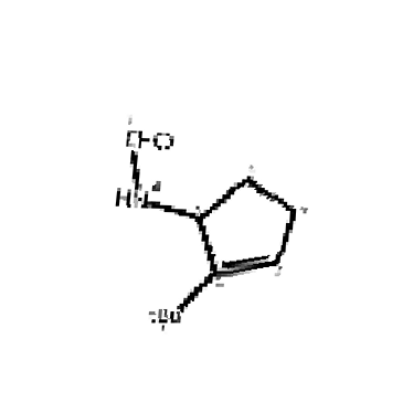 CC(C)(C)C1=CCCC1NC=O